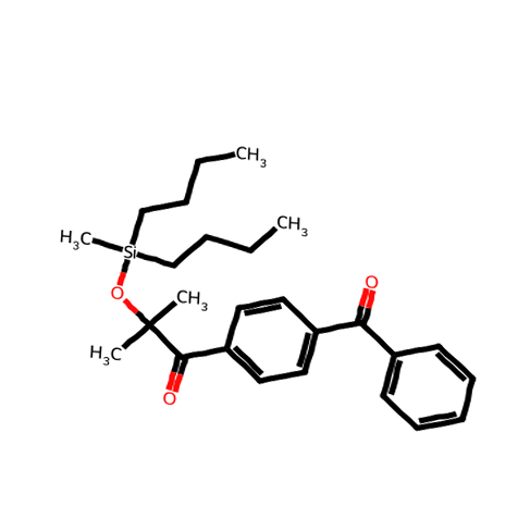 CCCC[Si](C)(CCCC)OC(C)(C)C(=O)c1ccc(C(=O)c2ccccc2)cc1